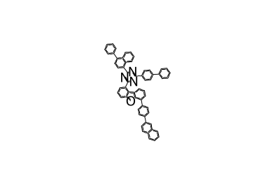 c1ccc(-c2ccc(-c3nc(-c4ccc(-c5ccccc5)c5ccccc45)nc(-c4cccc5oc6c(-c7ccc(-c8ccc9ccccc9c8)cc7)cccc6c45)n3)cc2)cc1